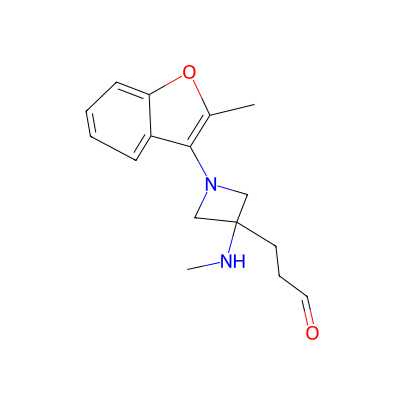 CNC1(CCC=O)CN(c2c(C)oc3ccccc23)C1